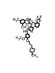 COc1cc(Nc2nccc(N(Cc3ccccc3OC(F)(F)F)C(=O)Oc3c(C)cc(C)cc3C)n2)ccc1OCCCN1CCN(C)CC1